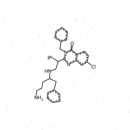 CC(C)C(CNC(CCCN)Cc1ccccc1)c1nc2cc(Cl)ccc2c(=O)n1Cc1ccccc1